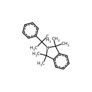 CC(C)(c1ccccc1)N1C(C)(C)c2ccccc2C1(C)C